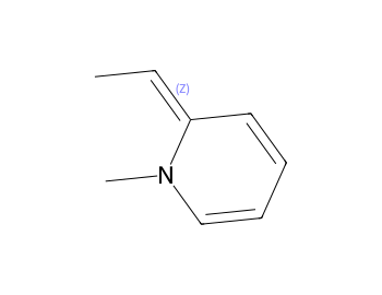 C/C=C1/C=CC=CN1C